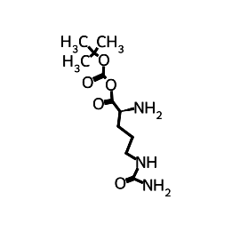 CC(C)(C)OC(=O)OC(=O)[C@@H](N)CCCNC(N)=O